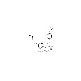 CCCCC(C)C1CC12CCN(c1ccc(OC(F)(F)F)cc1)C(=O)N2Cc1ccc(C(=O)NCC(O)C(=O)O)cc1